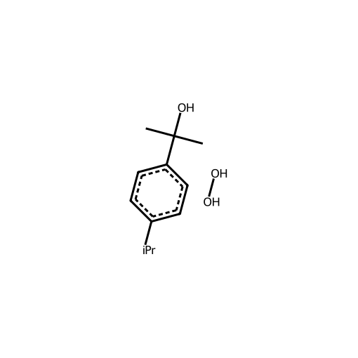 CC(C)c1ccc(C(C)(C)O)cc1.OO